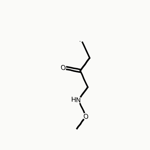 [CH2]CC(=O)CNOC